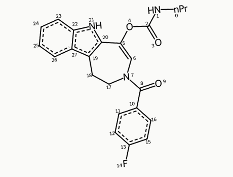 CCCNC(=O)OC1=CN(C(=O)c2ccc(F)cc2)CCc2c1[nH]c1ccccc21